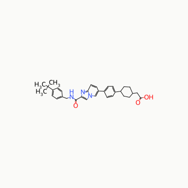 CC(C)(C)c1ccc(CNC(=O)c2cn3cc(-c4ccc(C5CCC(CC(=O)O)CC5)cc4)ccc3n2)cc1